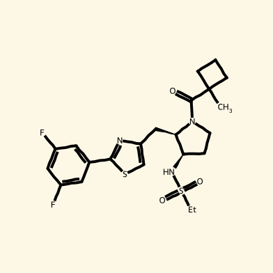 CCS(=O)(=O)N[C@@H]1CCN(C(=O)C2(C)CCC2)[C@@H]1Cc1csc(-c2cc(F)cc(F)c2)n1